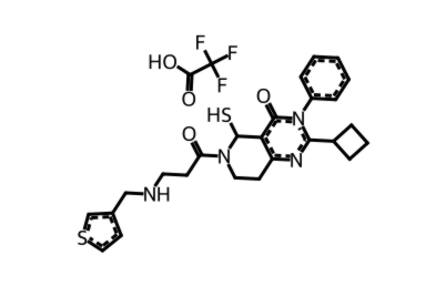 O=C(CCNCc1ccsc1)N1CCc2nc(C3CCC3)n(-c3ccccc3)c(=O)c2C1S.O=C(O)C(F)(F)F